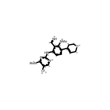 CNc1nc(Nc2ccc(C3=CCOCC3)c(NC)c2C=N)ncc1C(F)(F)F